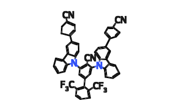 N#CC1=CC=C(c2ccc3c(c2)c2ccccc2n3-c2cc(-c3c(C(F)(F)F)cccc3C(F)(F)F)cc(-n3c4ccccc4c4cc(-c5ccc(C#N)cc5)ccc43)c2C#N)CC1